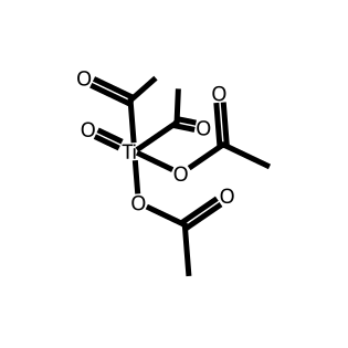 CC(=O)[O][Ti](=[O])([O]C(C)=O)([C](C)=O)[C](C)=O